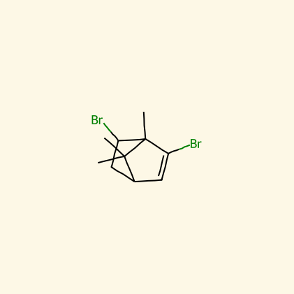 CC1(C)C2C=C(Br)C1(C)C(Br)C2